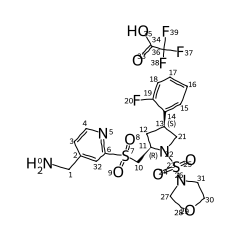 NCc1ccnc(S(=O)(=O)C[C@H]2C[C@@H](c3ccccc3F)CN2S(=O)(=O)N2CCOCC2)c1.O=C(O)C(F)(F)F